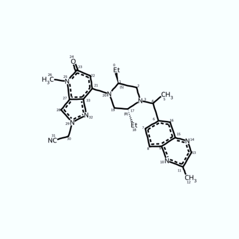 CC[C@H]1CN(C(C)c2ccc3nc(C)cnc3c2)[C@H](CC)CN1c1cc(=O)n(C)c2cn(CC#N)nc12